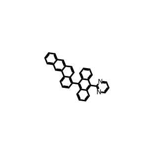 c1cnc(-c2c3ccccc3c(-c3cccc4c3ccc3cc5ccccc5cc34)c3ccccc23)nc1